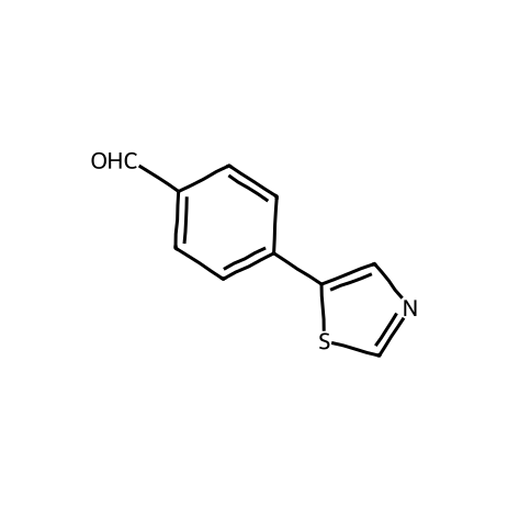 O=Cc1ccc(-c2cncs2)cc1